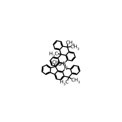 CC1(C)c2ccccc2N(B2c3ccccc3C3(C)c4ccccc4C(C)(C)c4cccc2c43)c2c1ccc1c2C(C)(C)c2ccccc2-1